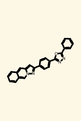 c1ccc(-c2nnc(-c3ccc(-c4cc5cc6ccccc6cn5n4)cc3)o2)cc1